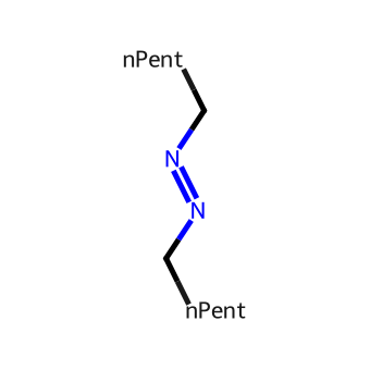 CCCCCCN=NCCCCCC